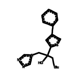 CC(C)(C)CC(O)(Cn1cnnc1)c1cc(-c2ccccc2)cs1